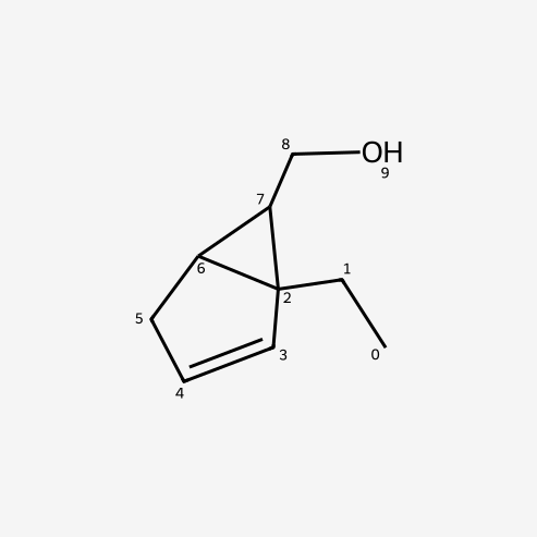 CCC12C=CCC1C2CO